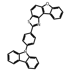 c1ccc2c(c1)oc1ccc3sc(-c4ccc(-n5c6ccccc6c6ccccc65)cc4)nc3c12